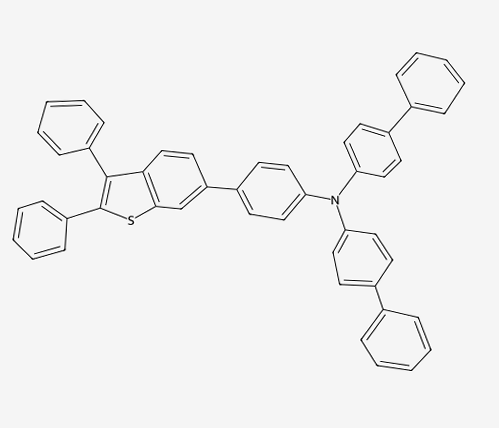 c1ccc(-c2ccc(N(c3ccc(-c4ccccc4)cc3)c3ccc(-c4ccc5c(-c6ccccc6)c(-c6ccccc6)sc5c4)cc3)cc2)cc1